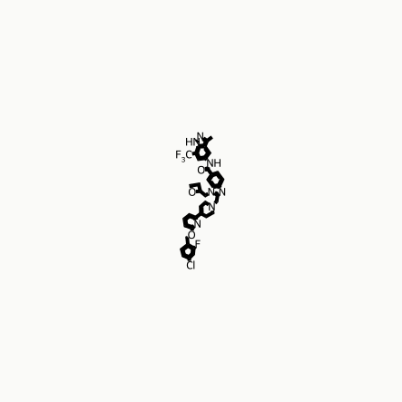 Cc1n[nH]c2c(C(F)(F)F)cc(NC(=O)c3ccc4nc(CN5CC=C(c6cccc(OCc7ccc(Cl)cc7F)n6)CC5)n(CC5CCO5)c4c3)cc12